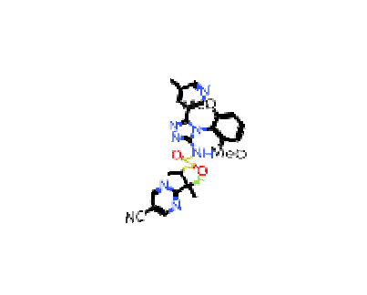 COc1cccc(OC)c1-n1c(NS(=O)(=O)C(C)C(C)(F)c2ncc(C#N)cn2)nnc1-c1cncc(C)c1